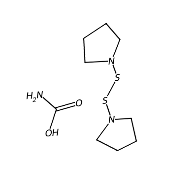 C1CCN(SSN2CCCC2)C1.NC(=O)O